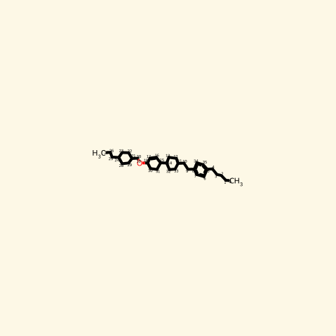 CCCCCc1ccc(CCC2CCC(C3C=CC(OCC4CCC(CCC)CC4)CC3)CC2)cc1